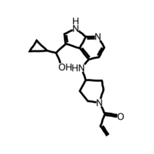 C=CC(=O)N1CCC(Nc2ccnc3[nH]cc(C(O)C4CC4)c23)CC1